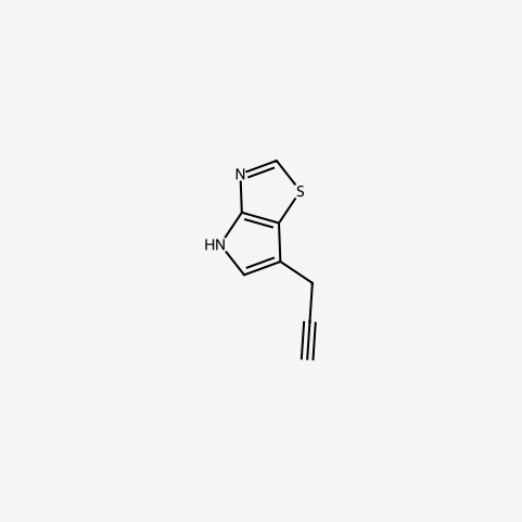 C#CCc1c[nH]c2ncsc12